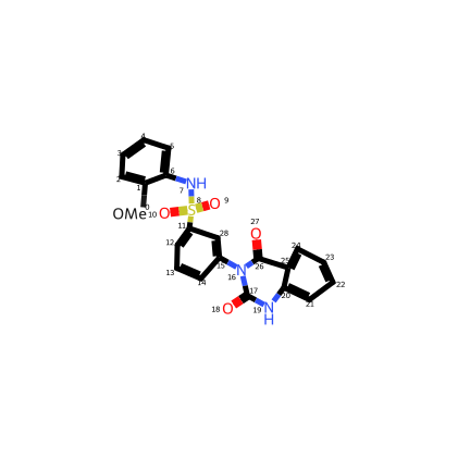 COc1ccccc1NS(=O)(=O)c1cccc(-n2c(=O)[nH]c3ccccc3c2=O)c1